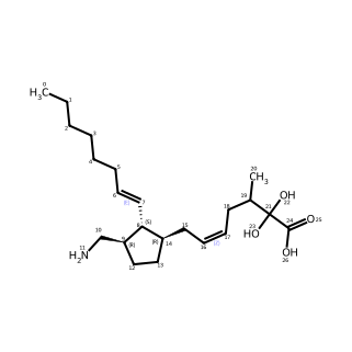 CCCCCC/C=C/[C@H]1[C@H](CN)CC[C@@H]1C/C=C\CC(C)C(O)(O)C(=O)O